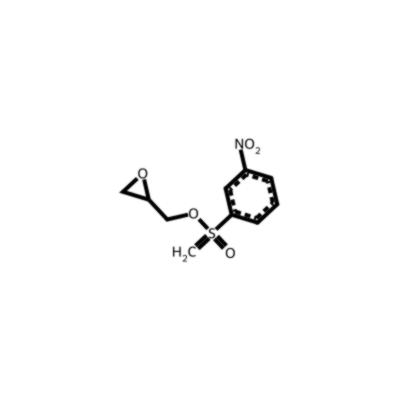 C=S(=O)(OCC1CO1)c1cccc([N+](=O)[O-])c1